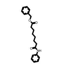 O=C(CCCCCCC(=O)OCc1ccccc1)Nc1ccccc1